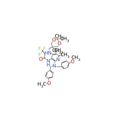 COc1ccc(CN(Cc2ccc(OC)cc2)c2nc(C)c(C)c(NCC3(C)COC(C)(C)OC3)c2NC(=O)CC(F)(F)F)cc1